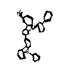 N#Cc1ccc2c(c1)c1ccc(-c3ccc4c(c3)c3ccccc3n4-c3ccccc3)cc1n2-c1cccc(-c2ccccc2)c1